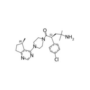 C[C@@H]1CCc2ncnc(N3CCN(C(=O)[C@@H](CC(C)(C)N)c4ccc(Cl)cc4)CC3)c21